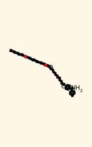 C#CC#CC#CC#CC#CC#CC#CC#CC#CC#CC#COCCCCCCCCCCCCOc1ccc(C(N)c2ccc(C)cc2)cc1